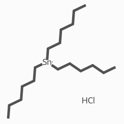 CCCCC[CH2][Sn]([CH2]CCCCC)[CH2]CCCCC.Cl